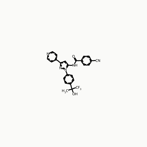 CC(O)(c1ccc(-n2nc(-c3ccncc3)cc2NC(=O)c2ccc(C#N)cc2)cc1)C(F)(F)F